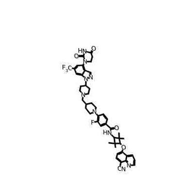 CC1(C)C(NC(=O)c2ccc(N3CCC(CN4CCC(n5ncc6c(N7CCC(=O)NC7=O)cc(C(F)(F)F)cc65)CC4)CC3)c(F)c2)C(C)(C)C1Oc1ccc(C#N)c2ncccc12